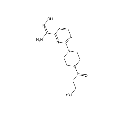 CC(C)(C)CCC(=O)N1CCN(c2nccc(/C(N)=N\O)n2)CC1